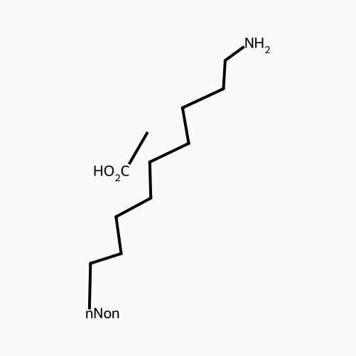 CC(=O)O.CCCCCCCCCCCCCCCCCCN